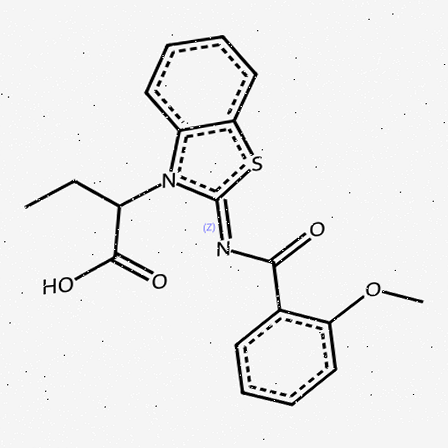 CCC(C(=O)O)n1/c(=N/C(=O)c2ccccc2OC)sc2ccccc21